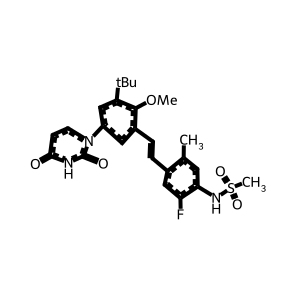 COc1c(C=Cc2cc(F)c(NS(C)(=O)=O)cc2C)cc(-n2ccc(=O)[nH]c2=O)cc1C(C)(C)C